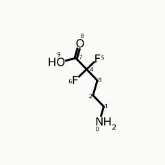 NCCCC(F)(F)C(=O)O